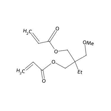 C=CC(=O)OCC(CC)(COC)COC(=O)C=C